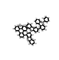 c1ccc(-n2c3ccccc3c3c(-c4ccc5c(c4)c4ccccc4n5-c4cc(-c5cccc6c7cccc8oc9cccc(c56)c9c87)c5sc6ccccc6c5c4)cccc32)cc1